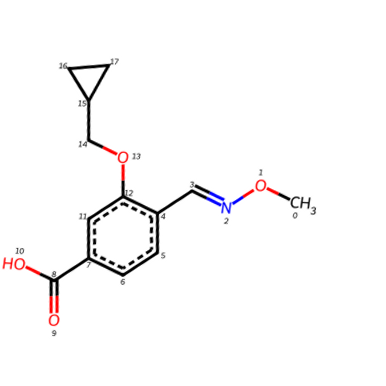 CON=Cc1ccc(C(=O)O)cc1OCC1CC1